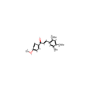 CCOc1ccc(C(=O)C=Cc2cc(C(C)(C)C)c(OC)cc2OC)cc1